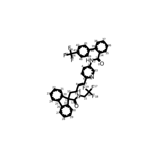 O=C(Nc1ccc(/C=C/CCC2(C(=O)NCC(F)(F)F)c3ccccc3-c3ccccc32)nc1)c1ccccc1-c1ccc(C(F)(F)F)cc1